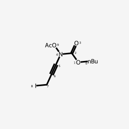 CCCCOC(=O)N(C#CCI)OC(C)=O